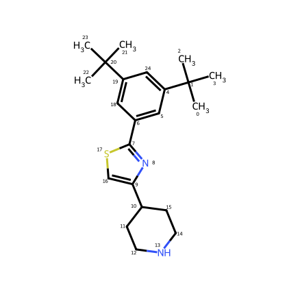 CC(C)(C)c1cc(-c2nc(C3CCNCC3)cs2)cc(C(C)(C)C)c1